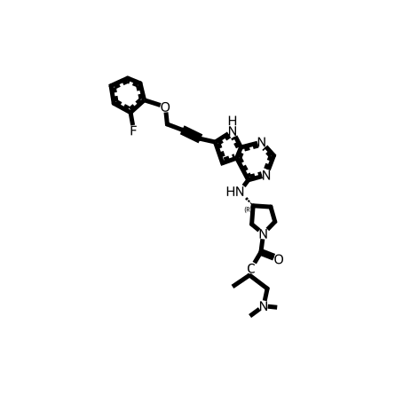 CC(CC(=O)N1CC[C@@H](Nc2ncnc3[nH]c(C#CCOc4ccccc4F)cc23)C1)CN(C)C